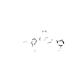 CCOc1ccc(C(=O)N[C@H]2CC[C@@H](Nc3nc(N(C)C)ncc3C)CC2)cc1OCC.O=C(O)C(F)(F)F